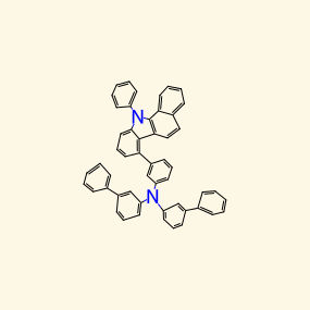 c1ccc(-c2cccc(N(c3cccc(-c4ccccc4)c3)c3cccc(-c4cccc5c4c4ccc6ccccc6c4n5-c4ccccc4)c3)c2)cc1